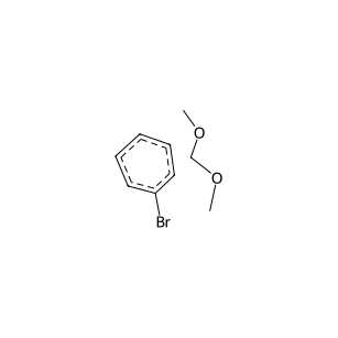 Brc1ccccc1.COCOC